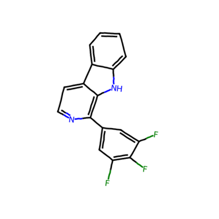 Fc1cc(-c2nccc3c2[nH]c2ccccc23)cc(F)c1F